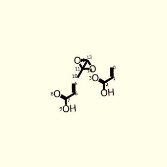 C=CC(=O)O.C=CC(=O)O.CC12OC1O2